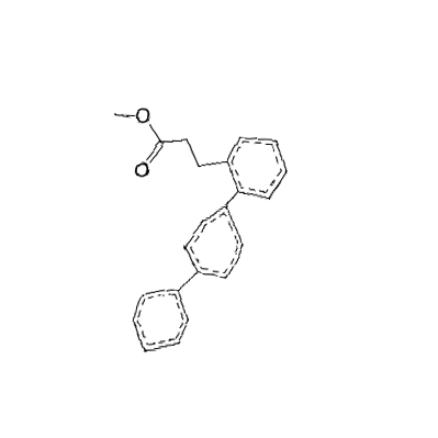 COC(=O)CCc1ccccc1-c1ccc(-c2ccccc2)cc1